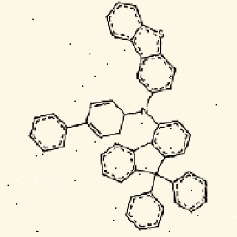 C1=CC(N(c2ccc3sc4ccccc4c3c2)c2cccc3c2-c2ccccc2C3(c2ccccc2)c2ccccc2)CC=C1c1ccccc1